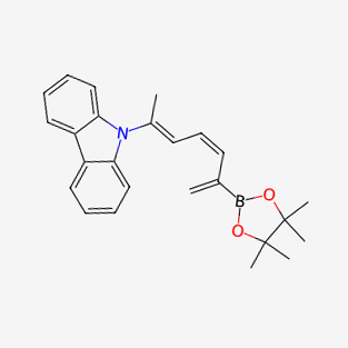 C=C(/C=C\C=C(/C)n1c2ccccc2c2ccccc21)B1OC(C)(C)C(C)(C)O1